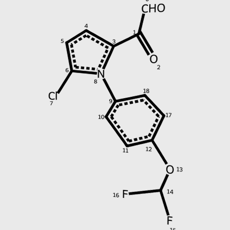 O=CC(=O)c1ccc(Cl)n1-c1ccc(OC(F)F)cc1